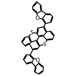 c1ccc2c(c1)oc1c(-c3cc4sc5cccc6c(-c7cccc8c7oc7ccccc78)cc7sc8cccc3c8c4-c7c56)cccc12